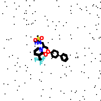 CS(=O)(=O)NCC(CO[C@H]1CC[C@@H](c2ccccc2)CC1)n1cccc(C(F)(F)F)c1=O